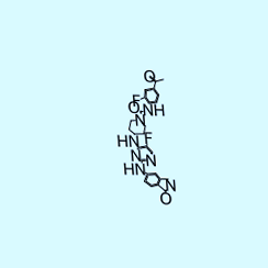 CC(=O)c1ccc(NC(=O)N2CCC(Nc3nc(Nc4ccc5c(c4)C=NC5=O)ncc3F)CC2)c(F)c1